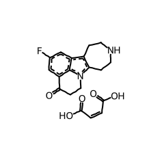 O=C(O)/C=C\C(=O)O.O=C1CCn2c3c(c4cc(F)cc1c42)CCNCC3